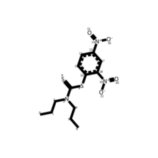 CCCN(CCC)C(=S)Sc1ccc([N+](=O)[O-])cc1[N+](=O)[O-]